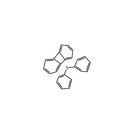 c1ccc(Sc2ccccc2)cc1.c1ccc2c(c1)-c1ccccc1-2